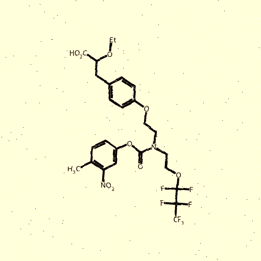 CCOC(Cc1ccc(OCCN(CCOC(F)(F)C(F)(F)C(F)(F)F)C(=O)Oc2ccc(C)c([N+](=O)[O-])c2)cc1)C(=O)O